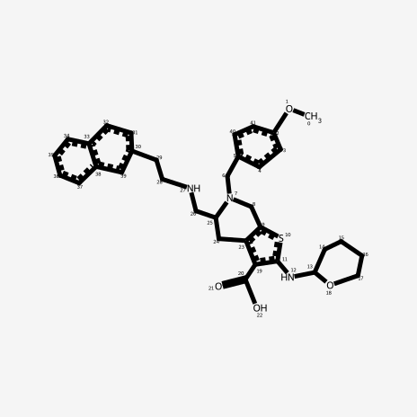 COc1ccc(CN2Cc3sc(NC4CCCCO4)c(C(=O)O)c3CC2CNCCc2ccc3ccccc3c2)cc1